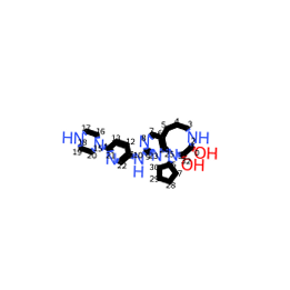 OC1NCCCc2cnc(Nc3ccc(N4CCNCC4)nc3)nc2N(C2CCCC2)C1O